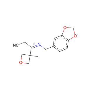 CC1(/C(CC#N)=N\Cc2ccc3c(c2)OCO3)COC1